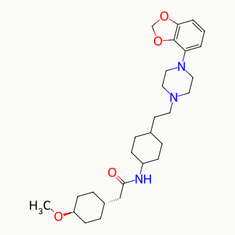 CO[C@H]1CC[C@H](CC(=O)NC2CCC(CCN3CCN(c4cccc5c4OCO5)CC3)CC2)CC1